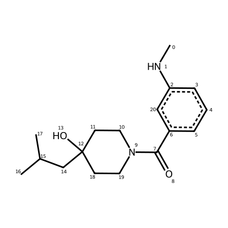 CNc1cccc(C(=O)N2CCC(O)(CC(C)C)CC2)c1